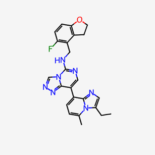 CCc1cnc2c(-c3cnc(NCc4c(F)ccc5c4CCO5)n4cnnc34)ccc(C)n12